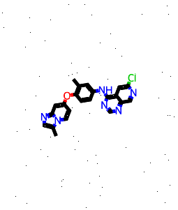 Cc1cc(Nc2ncnc3cnc(Cl)cc23)ccc1Oc1ccn2c(C)cnc2c1